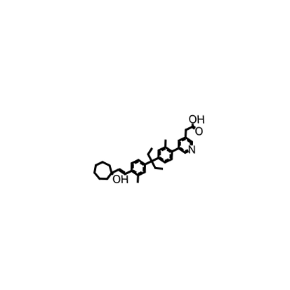 CCC(CC)(c1ccc(C=CC2(O)CCCCCC2)c(C)c1)c1ccc(-c2cncc(CC(=O)O)c2)c(C)c1